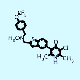 Cc1[nH]c(C)c(-c2ccc3sc(CN(C)Cc4ccc(OC(F)(F)F)cc4)cc3c2)c(=O)c1Cl